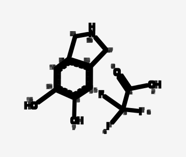 O=C(O)C(F)(F)F.Oc1cc2c(cc1O)CNC2